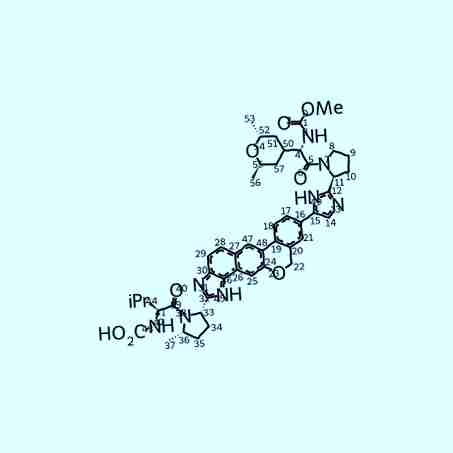 COC(=O)N[C@H](C(=O)N1CCC[C@H]1c1ncc(-c2ccc3c(c2)COc2cc4c(ccc5nc([C@@H]6CC[C@H](C)N6C(=O)[C@@H](NC(=O)O)C(C)C)[nH]c54)cc2-3)[nH]1)C1C[C@@H](C)O[C@H](C)C1